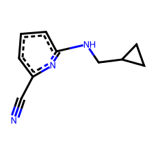 N#Cc1cccc(NCC2CC2)n1